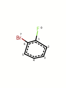 Fc1[c]cccc1Br